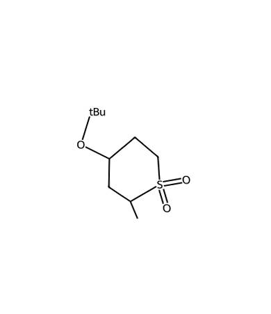 CC1CC(OC(C)(C)C)CCS1(=O)=O